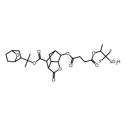 CC(OC(=O)CCC(=O)OC1C2CC3C1OC(=O)C3C2C(=O)OC(C)(C)C1CC2CCC1O2)C(F)(F)S(=O)(=O)O